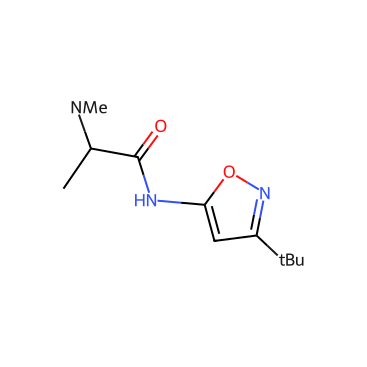 CNC(C)C(=O)Nc1cc(C(C)(C)C)no1